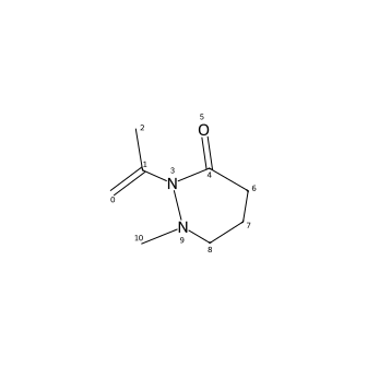 C=C(C)N1C(=O)CCCN1C